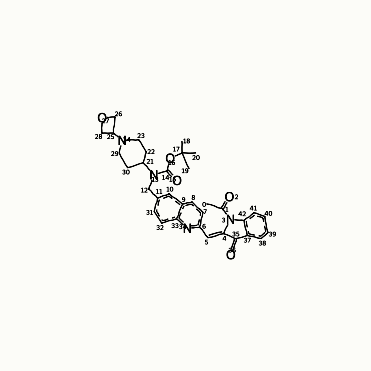 CC(=O)N1/C(=C\c2ccc3cc(CN(C(=O)OC(C)(C)C)C4CCN(C5COC5)CC4)ccc3n2)C(=O)c2ccccc21